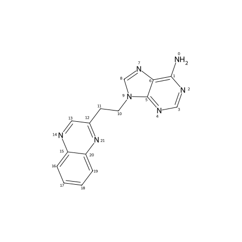 Nc1ncnc2c1ncn2CCc1cnc2ccccc2n1